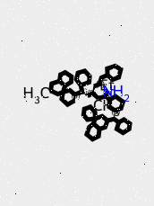 CC[C@H](CC1CCCCC1)C[C@H](C[C@@H](C1CCCCC1)[C@H]1CCCC2(CC(C)CC3CCCCC32)C1)C(C)C(N)C1CCC[C@H](C(C2CCCCC2)C2CC3CCCCC3C3(CCCCC3)C2)C1